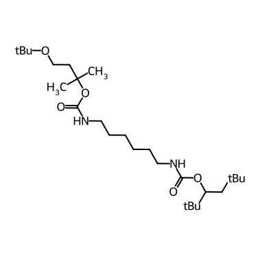 CC(C)(C)CC(OC(=O)NCCCCCCNC(=O)OC(C)(C)CCOC(C)(C)C)C(C)(C)C